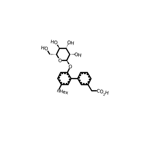 CCCCCCc1ccc(O[C@H]2O[C@H](CO)[C@@H](O)[C@H](O)[C@@H]2O)c(-c2cccc(CC(=O)O)c2)c1